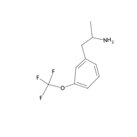 CC(N)Cc1cccc(OC(F)(F)F)c1